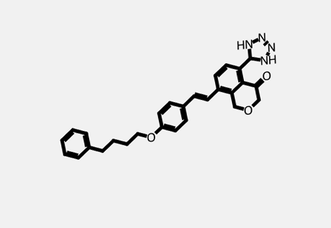 O=C1COCc2c(/C=C/c3ccc(OCCCCc4ccccc4)cc3)ccc(C3NN=NN3)c21